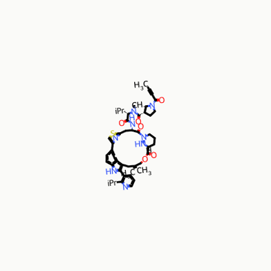 CC#CC(=O)N1CC[C@H](C(=O)N(C)[C@H](C(=O)N[C@H]2Cc3nc(cs3)-c3ccc4[nH]c(-c5cccnc5C(C)C)c(c4c3)CC(C)(C)COC(=O)[C@@H]3CCCN(N3)C2=O)C(C)C)C1